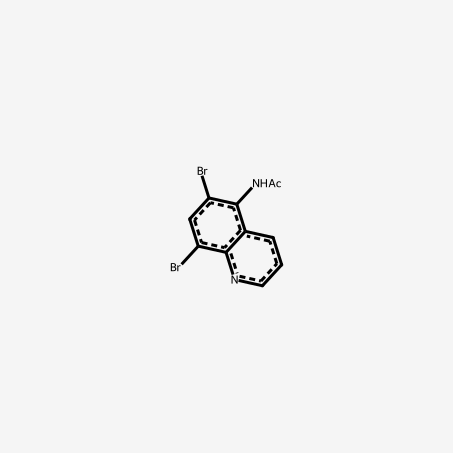 CC(=O)Nc1c(Br)cc(Br)c2ncccc12